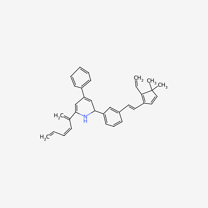 C=C/C=C\C(=C)C1=CC(c2ccccc2)=CC(c2cccc(/C=C/C3=C(C=C)C(C)(C)C=C3)c2)N1